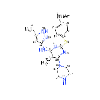 CC(=O)Nc1ccc(Sc2nc(Nc3cc(C)[nH]n3)c(C)c(N3CCNCC3)n2)cc1